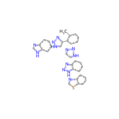 Cc1ccccc1-c1c[nH]nn1.c1c[nH]nn1.c1ccc2[nH]cnc2c1.c1ccc2[nH]nnc2c1.c1ccc2scnc2c1